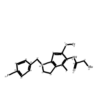 CCSc1cc2c(c(C)c1NC(=O)CC(C)(C)C)CCN2Cc1ccc(F)cc1